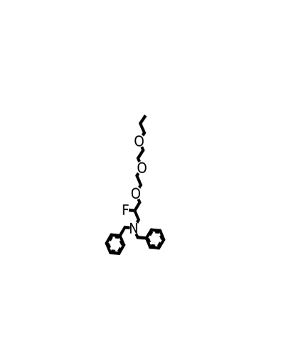 CCCOCCOCCOCC(F)CN(Cc1ccccc1)Cc1ccccc1